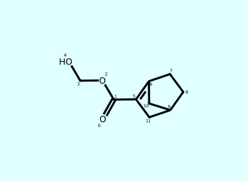 O=C(OCO)C1=C2CCC(C2)C1